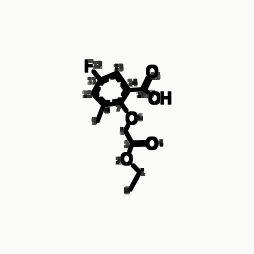 CCOC(=O)COc1c(C)cc(F)cc1C(=O)O